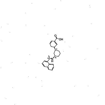 C[C@@H](N[C@@H]1CCC[C@H](C2C=C(C(=O)O)C=CC2)C1)c1cccc2ccccc12